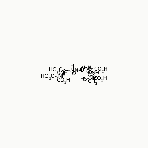 C[C@H](CS)NC(=O)[C@H](CC(=O)O)NC(=O)[C@H](CC(=O)O)NC(=O)Cc1ccc(CNC(=O)NCCCC[C@H](NC(=O)N[C@@H](CCC(=O)O)C(=O)O)C(=O)O)cc1